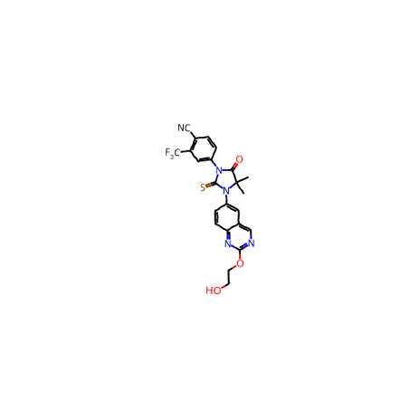 CC1(C)C(=O)N(c2ccc(C#N)c(C(F)(F)F)c2)C(=S)N1c1ccc2nc(OCCO)ncc2c1